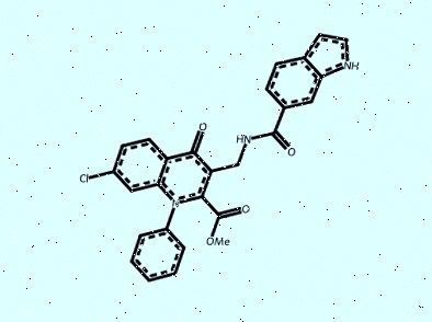 COC(=O)c1c(CNC(=O)c2ccc3cc[nH]c3c2)c(=O)c2ccc(Cl)cc2n1-c1ccccc1